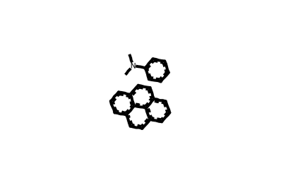 CN(C)c1ccccc1.c1cc2ccc3cccc4ccc(c1)c2c34